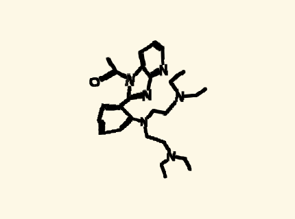 CCN(CC)CCN(CCN(CC)CC)c1ccccc1-c1nc2ncccc2n1C(C)=O